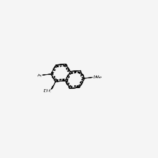 COc1ccc2c(C=O)c(C(C)=O)ccc2c1